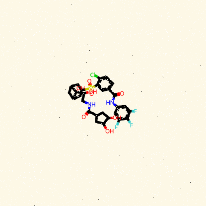 O=C(Nc1cc(F)c(F)c(F)c1)c1ccc(Cl)c(S(=O)(=O)C2CC3CC(C2)C3(O)C(O)CNC(=O)C2CC(O)C(O)C2)c1